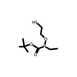 CCN(OCCS)C(=O)OC(C)(C)C